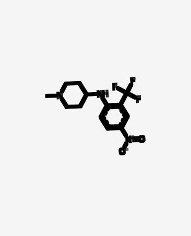 CN1CCC(Nc2ccc([N+](=O)[O-])cc2C(F)(F)F)CC1